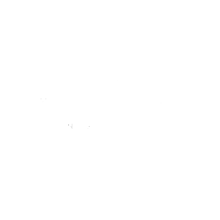 CC(=O)[N+]1([O-])CCOc2ccc(CCCC(=O)O)cc21